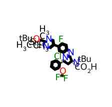 CCC(C)(O[Si](C)(C)C(C)(C)C)c1ncc(-c2cc3c(cc2F)nc2n3[C@@H](c3c(Cl)cccc3OC(F)F)C[C@H]2N(C(=O)O)C(C)(C)C)cn1